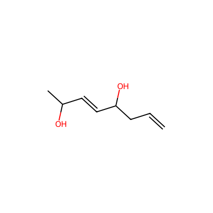 C=CCC(O)/C=C/C(C)O